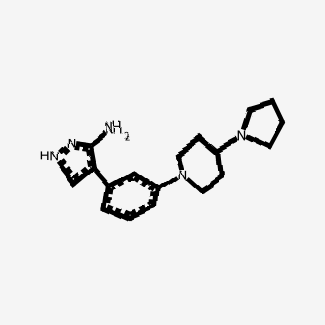 Nc1n[nH]cc1-c1cccc(N2CCC(N3CCCC3)CC2)c1